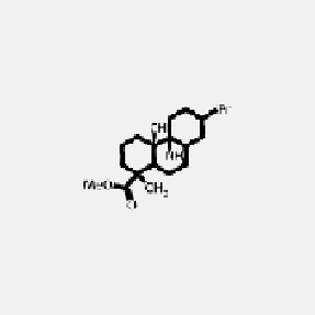 COC(=O)C1(C)CCC[C@@]2(C)C1CCC1CC(C(C)C)CCC12N